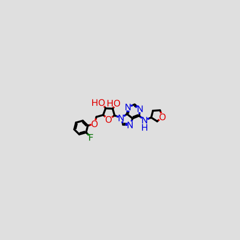 OC1C(COc2ccccc2F)OC(n2cnc3c(NC4CCOC4)ncnc32)C1O